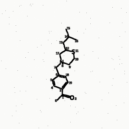 CC(=O)c1ccc(CN2CCSC(CC(C)C)C2)cc1